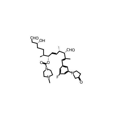 C/C(=C\c1cc(F)cc(N2CCC(=O)C2)c1)[C@@H](C=O)[C@@H](C)/C=C/[C@H](OC(=O)N1CCN(C)CC1)[C@@H](C)CC[C@@H](O)CC=O